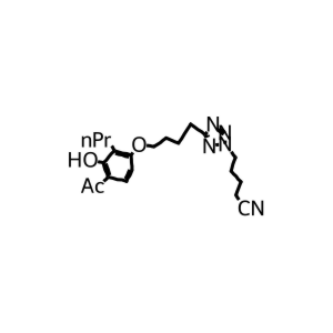 CCCc1c(OCCCCc2nnn(CCCCC#N)n2)ccc(C(C)=O)c1O